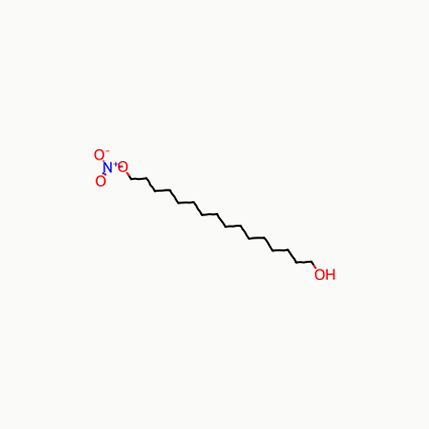 O=[N+]([O-])OCCCCCCCCCCCCCCCCO